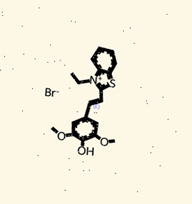 CC[n+]1c(/C=C/c2cc(OC)c(O)c(OC)c2)sc2ccccc21.[Br-]